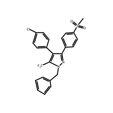 CS(=O)(=O)c1ccc(-c2nn(Cc3ccccc3)c(C(F)(F)F)c2-c2ccc(Cl)cc2)cc1